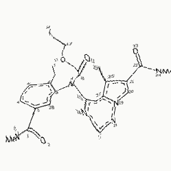 CNC(=O)c1ccc(C)c(N(C(=O)OCI)c2ncnn3cc(C(=O)NC)c(C)c23)c1